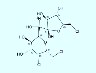 [2H]C(O)([C@H]1O[C@H](CCl)[C@H](Cl)[C@H](O)[C@H]1O)[C@@]1(O)O[C@H](CCl)[C@@H](O)[C@@H]1O